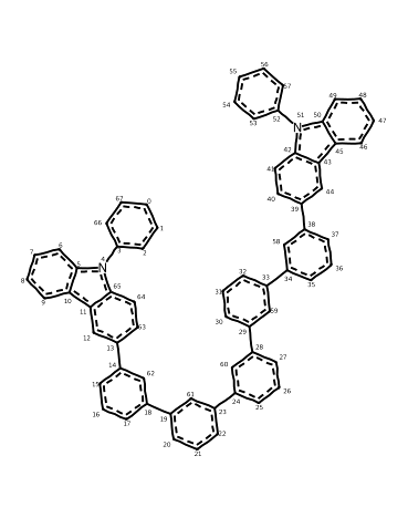 c1ccc(-n2c3ccccc3c3cc(-c4cccc(-c5cccc(-c6cccc(-c7cccc(-c8cccc(-c9ccc%10c(c9)c9ccccc9n%10-c9ccccc9)c8)c7)c6)c5)c4)ccc32)cc1